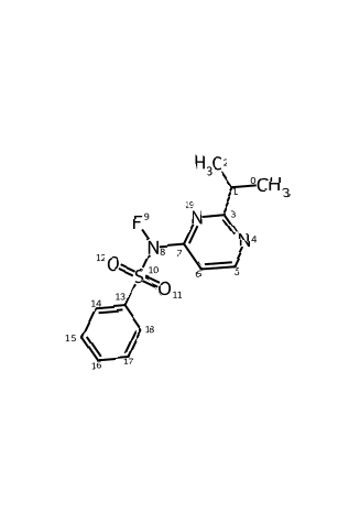 CC(C)c1nccc(N(F)S(=O)(=O)c2ccccc2)n1